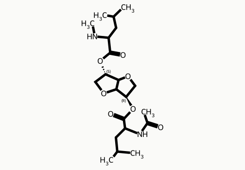 CNC(CC(C)C)C(=O)O[C@H]1COC2C1OC[C@H]2OC(=O)C(CC(C)C)NC(C)=O